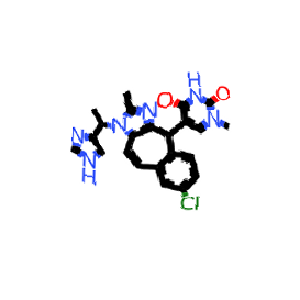 Cc1nc2c(n1C(C)c1c[nH]cn1)C=Cc1cc(Cl)ccc1C2c1cn(C)c(=O)[nH]c1=O